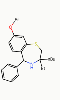 CCCCC1(CC)CSc2cc(OCC)ccc2C(c2ccccc2)N1